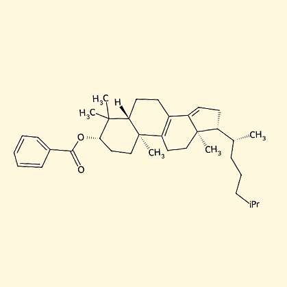 CC(C)CCC[C@@H](C)[C@H]1CC=C2C3=C(CC[C@@]21C)[C@@]1(C)CC[C@H](OC(=O)c2ccccc2)C(C)(C)[C@@H]1CC3